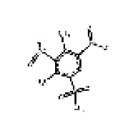 Cc1c([N+](=O)[O-])cc(S(C)(=O)=O)c(C)c1[N+](=O)[O-]